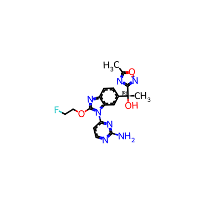 Cc1nc([C@](C)(O)c2ccc3nc(OCCF)n(-c4ccnc(N)n4)c3c2)no1